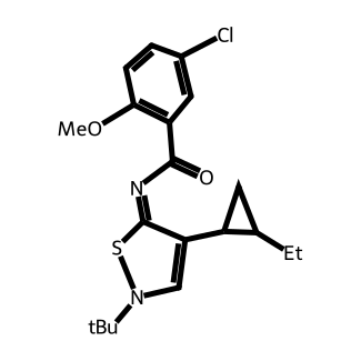 CCC1CC1c1cn(C(C)(C)C)sc1=NC(=O)c1cc(Cl)ccc1OC